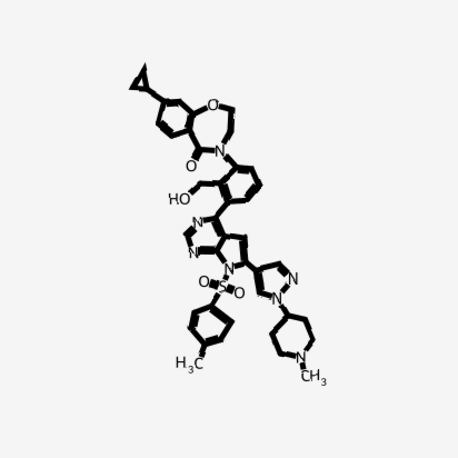 Cc1ccc(S(=O)(=O)n2c(-c3cnn(C4CCN(C)CC4)c3)cc3c(-c4cccc(N5CCOc6cc(C7CC7)ccc6C5=O)c4CO)ncnc32)cc1